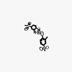 Cc1cc(S(C)(=O)=O)ccc1OBOc1ccc(S(C)(=O)=O)cc1C